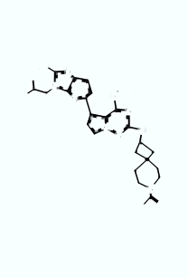 CNc1nc(NC2CC3(CCN(C(C)=O)CC3)C2)nn2ccc(-c3ccc4nc(C)n(CC(F)F)c4n3)c12